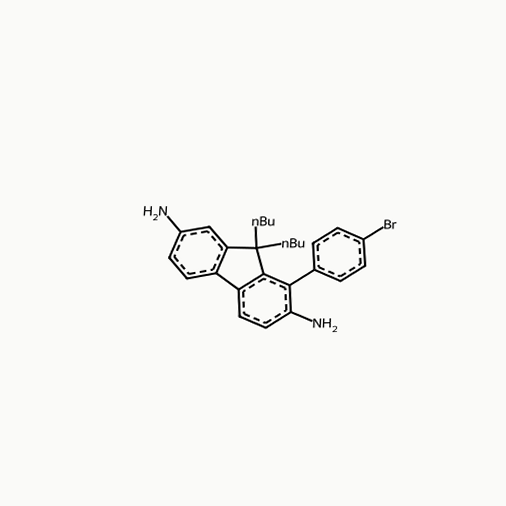 CCCCC1(CCCC)c2cc(N)ccc2-c2ccc(N)c(-c3ccc(Br)cc3)c21